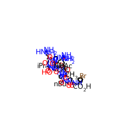 CCCC[C@H](NC(=O)[C@@H]1CCCN1C(=O)[C@@H](C)NC(=O)[C@H](CCCCN)NC(=O)C(C)(C)NC(=O)[C@H](CO)NC(=O)[C@@H](CC(C)C)NC(=O)[C@H](CCCNC(=N)N)NC(=O)[C@@H]1CCCN1C(=O)[C@H](CCCNC(=N)N)NC(C)=O)C(=O)N1CCC[C@H]1C(=O)N[C@@H](Cc1ccc(Br)cc1)C(=O)O